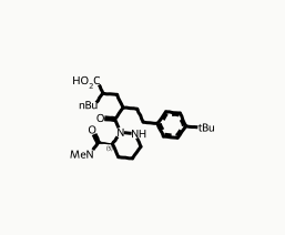 CCCCC(CC(CCc1ccc(C(C)(C)C)cc1)C(=O)N1NCCC[C@H]1C(=O)NC)C(=O)O